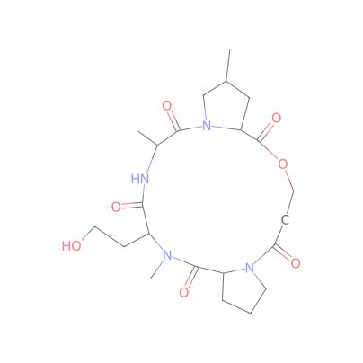 CC1CC2C(=O)OCCC(=O)N3CCCC3C(=O)N(C)C(CCO)C(=O)NC(C)C(=O)N2C1